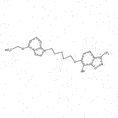 CCCc1c(OCCCCCn2ccc3c(OCC(=O)O)cccc32)ccc2c(C(F)(F)F)noc12